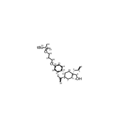 C=CC[C@]1(CO)CC[C@@H](C(=C)C)[C@H](c2ccc(OCCCO[Si](C)(C)C(C)(C)C)cc2)C1